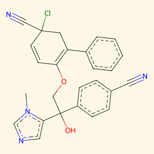 Cn1cncc1C(O)(COC1=C(c2ccccc2)CC(Cl)(C#N)C=C1)c1ccc(C#N)cc1